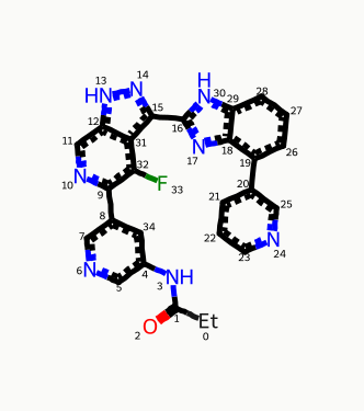 CCC(=O)Nc1cncc(-c2ncc3[nH]nc(-c4nc5c(-c6cccnc6)cccc5[nH]4)c3c2F)c1